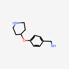 [NH]Cc1ccc(OC2CCNCC2)cc1